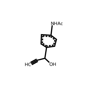 C#CC(O)c1ccc(NC(C)=O)cc1